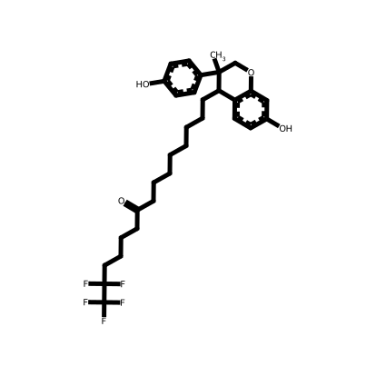 CC1(c2ccc(O)cc2)COc2cc(O)ccc2C1CCCCCCCCC(=O)CCCCC(F)(F)C(F)(F)F